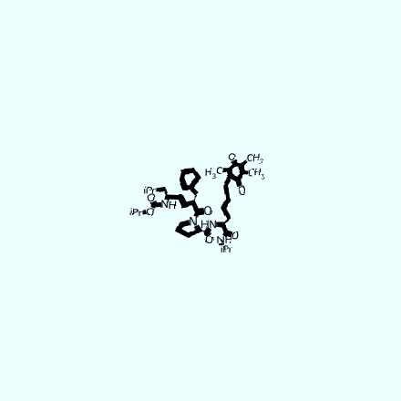 CC1=C(C)C(=O)C(CCCC[C@H](NC(=O)[C@@H]2CCCN2C(=O)[C@H](/C=C/[C@H](CC(C)C)NC(=O)OC(C)C)Cc2ccccc2)C(=O)NC(C)C)=C(C)C1=O